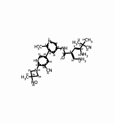 Cc1ncc(NC(=O)C(/C=C(\N)C(C)(C)C#N)=C/N)cc1-c1cnc(N2CC(C)(N=O)C2)c(C#N)c1